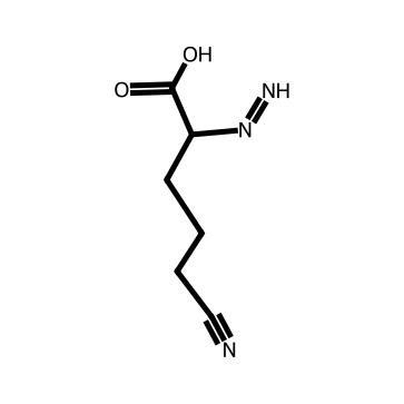 N#CCCCC(N=N)C(=O)O